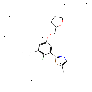 Cc1cnc(-c2cc(OCC3CCCO3)cc(C(=O)O)c2F)s1